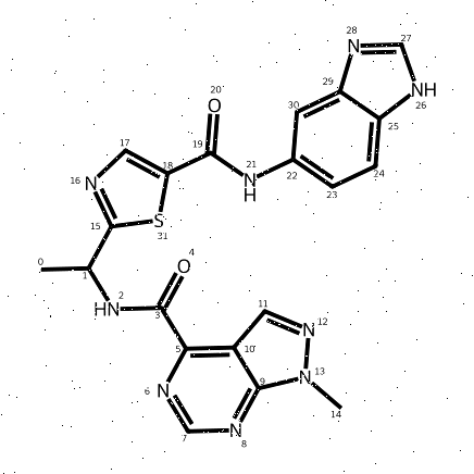 CC(NC(=O)c1ncnc2c1cnn2C)c1ncc(C(=O)Nc2ccc3[nH]cnc3c2)s1